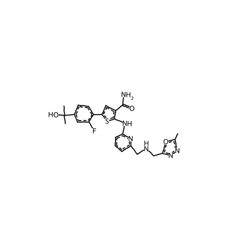 Cc1nnc(CNCc2cccc(Nc3sc(-c4ccc(C(C)(C)O)cc4F)cc3C(N)=O)n2)o1